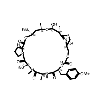 CC[C@H](C)[C@H]1C(=O)N2CCC[C@@H]2C(=O)O[C@H](C(C)(C)C)C[C@@H](C)C[C@H](O)[C@H](C)C2=N[C@H](CCC(=O)N[C@@H](Cc3ccc(OC)cc3)C(=O)N(C)[C@@H](C)C(=O)N1C)CS2